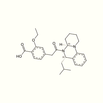 CCOc1cc(CC(=O)N2[C@@H](CC(C)C)c3ccccc3N3CCCC[C@@H]32)ccc1C(=O)O